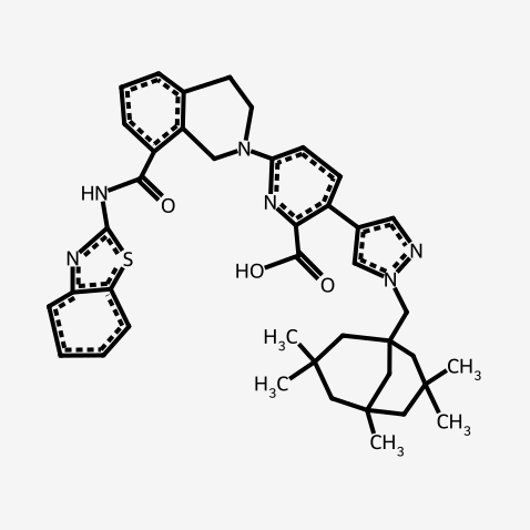 CC1(C)CC2(C)CC(C)(C)CC(Cn3cc(-c4ccc(N5CCc6cccc(C(=O)Nc7nc8ccccc8s7)c6C5)nc4C(=O)O)cn3)(C1)C2